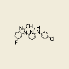 Cc1nc2ccc(F)cc2n1-c1cccc(Nc2ccc(Cl)cc2)n1